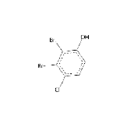 Oc1ccc(Cl)c(Br)c1Br